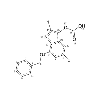 Cc1cc(OCc2ccccc2)n2nc(C)c(OC(=O)O)c2c1